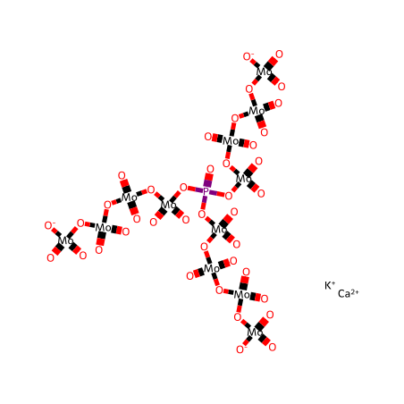 O=P([O][Mo](=[O])(=[O])[O][Mo](=[O])(=[O])[O][Mo](=[O])(=[O])[O][Mo](=[O])(=[O])[O-])([O][Mo](=[O])(=[O])[O][Mo](=[O])(=[O])[O][Mo](=[O])(=[O])[O][Mo](=[O])(=[O])[O-])[O][Mo](=[O])(=[O])[O][Mo](=[O])(=[O])[O][Mo](=[O])(=[O])[O][Mo](=[O])(=[O])[O-].[Ca+2].[K+]